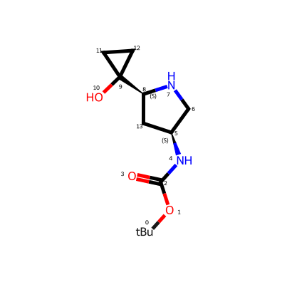 CC(C)(C)OC(=O)N[C@@H]1CN[C@H](C2(O)CC2)C1